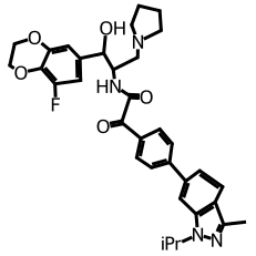 Cc1nn(C(C)C)c2cc(-c3ccc(C(=O)C(=O)NC(CN4CCCC4)C(O)c4cc(F)c5c(c4)OCCO5)cc3)ccc12